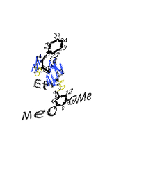 CCn1c(SCc2cc(OC)cc(OC)c2)nnc1-c1snnc1-c1ccccc1